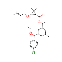 CCOC(c1ccc(Cl)cc1)c1cc(C)cc(C(C)OC(=O)C2C(OCC=C(C)C)C2(C)C)c1